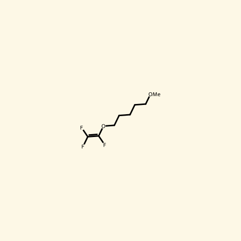 COCCCCCOC(F)=C(F)F